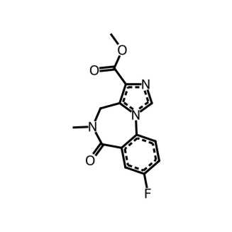 COC(=O)c1ncn2c1CN(C)C(=O)c1cc(F)ccc1-2